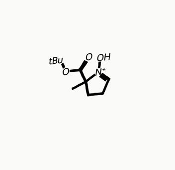 CC(C)(C)OC(=O)C1(C)CCC=[N+]1O